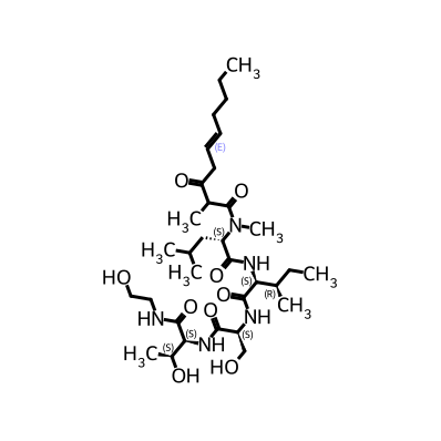 CCCC/C=C/CC(=O)C(C)C(=O)N(C)[C@@H](CC(C)C)C(=O)N[C@H](C(=O)N[C@@H](CO)C(=O)N[C@H](C(=O)NCCO)[C@H](C)O)[C@H](C)CC